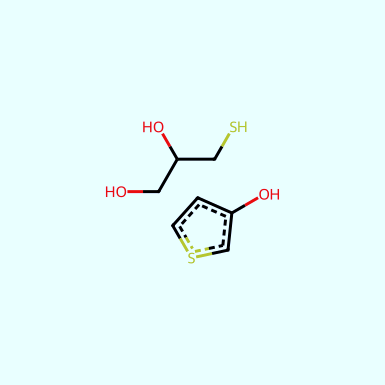 OCC(O)CS.Oc1ccsc1